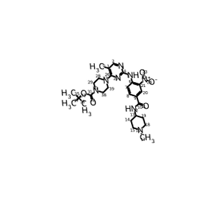 Cc1cnc(Nc2ccc(C(=O)NC3CCN(C)CC3)cc2[N+](=O)[O-])nc1N1CCN(C(=O)OC(C)(C)C)CC1